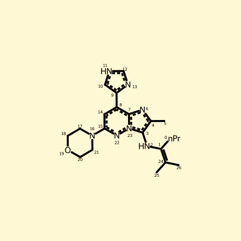 CCCC(Nc1c(C)nc2c(-c3c[nH]cn3)cc(N3CCOCC3)nn12)=C(C)C